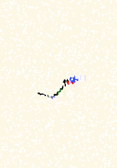 C=CC(CC)(c1cccc(CCCCCCCC/C=C\CCCCCCCC)c1O)[N+]1=CNCC1.[Cl-]